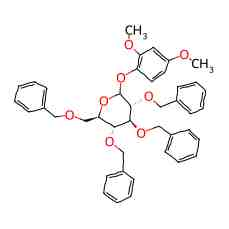 COc1ccc(OC2O[C@H](COCc3ccccc3)[C@@H](OCc3ccccc3)[C@H](OCc3ccccc3)[C@H]2OCc2ccccc2)c(OC)c1